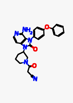 N#CCC(=O)N1CCCC(n2c(=O)n(-c3ccc(Oc4ccccc4)cc3)c3c(N)nccc32)C1